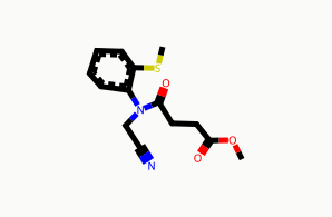 COC(=O)CCC(=O)N(CC#N)c1ccccc1SC